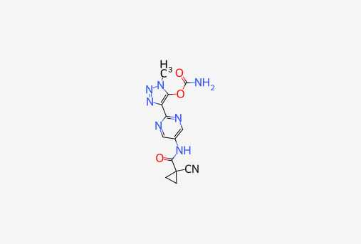 Cn1nnc(-c2ncc(NC(=O)C3(C#N)CC3)cn2)c1OC(N)=O